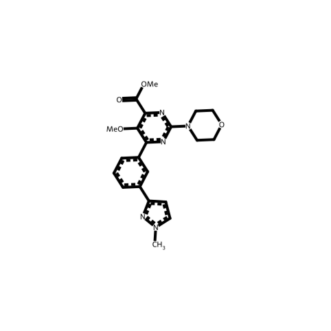 COC(=O)c1nc(N2CCOCC2)nc(-c2cccc(-c3ccn(C)n3)c2)c1OC